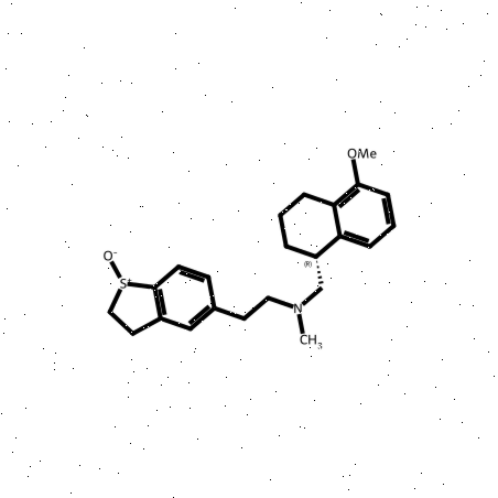 COc1cccc2c1CCC[C@H]2CN(C)CCc1ccc2c(c1)CC[S+]2[O-]